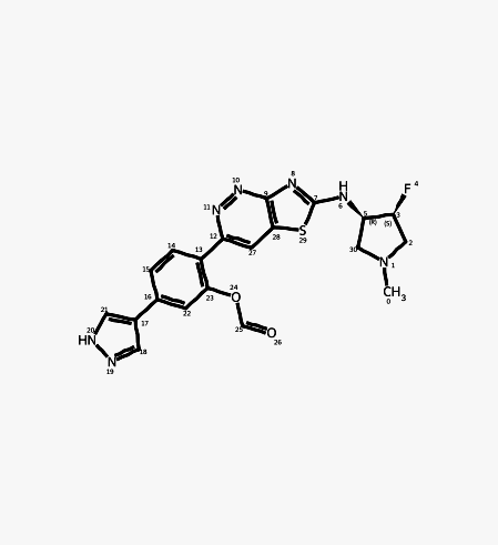 CN1C[C@H](F)[C@H](Nc2nc3nnc(-c4ccc(-c5cn[nH]c5)cc4OC=O)cc3s2)C1